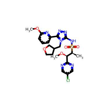 COc1cccc(-c2nnc(NS(=O)(=O)[C@@H](C)[C@H](OC)c3ncc(Cl)cn3)n2CC2CCOC2)n1